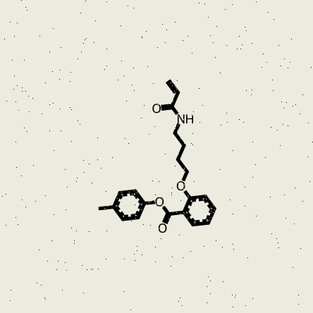 C=CC(=O)NCCCCOc1ccccc1C(=O)Oc1ccc(C)cc1